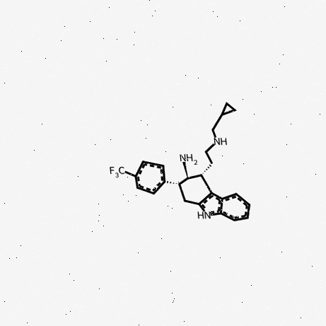 N[C@@H]1[C@@H](c2ccc(C(F)(F)F)cc2)Cc2[nH]c3ccccc3c2[C@H]1CCNCC1CC1